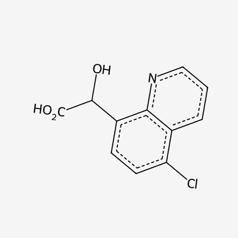 O=C(O)C(O)c1ccc(Cl)c2cccnc12